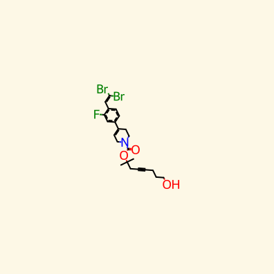 CC(C)(CC#CCCCO)OC(=O)N1CC=C(c2ccc(C=C(Br)Br)c(F)c2)CC1